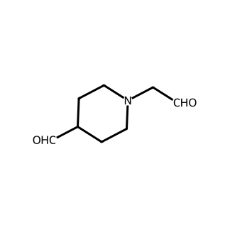 O=CCN1CCC(C=O)CC1